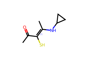 CC(=O)/C(S)=C(\C)NC1CC1